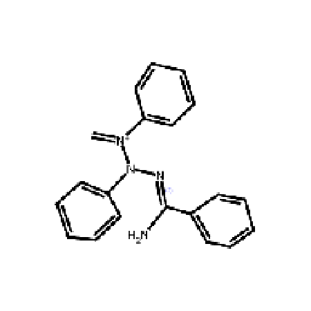 C=[N+](c1ccccc1)N(/N=C(\N)c1ccccc1)c1ccccc1